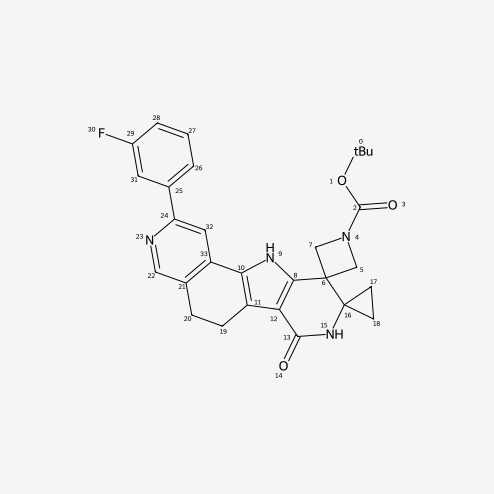 CC(C)(C)OC(=O)N1CC2(C1)c1[nH]c3c(c1C(=O)NC21CC1)CCc1cnc(-c2cccc(F)c2)cc1-3